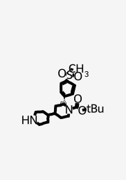 CC(C)(C)OC(=O)N1CCC(C2CCNCC2)C[C@@H]1c1ccc(S(C)(=O)=O)cc1